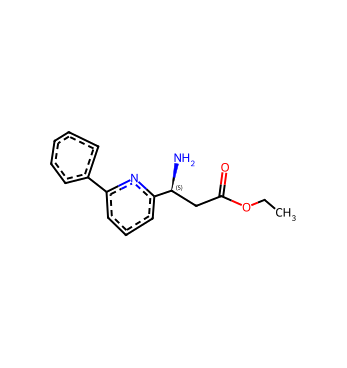 CCOC(=O)C[C@H](N)c1cccc(-c2ccccc2)n1